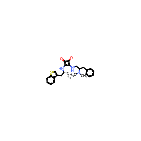 C[C@H](Cc1csc2ccccc12)Nc1c(NCC(Cc2ccccc2)N(C)C)c(=O)c1=O